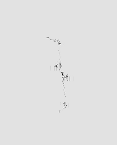 C=CC/C=C/N(C)C(=O)CCCCCCCC/C=C/C(CSSC[C@@H](/C=C/CCCCCCCCC(=O)N(C)/C=C/CC=C)NC(C)=O)NC(C)=O